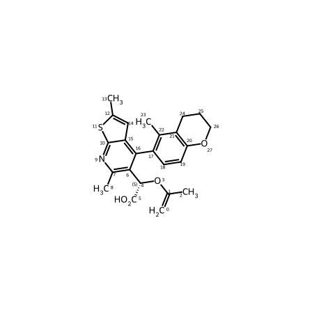 C=C(C)O[C@H](C(=O)O)c1c(C)nc2sc(C)cc2c1-c1ccc2c(c1C)CCCO2